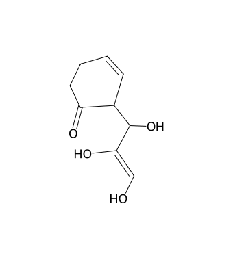 O=C1CCC=CC1C(O)C(O)=CO